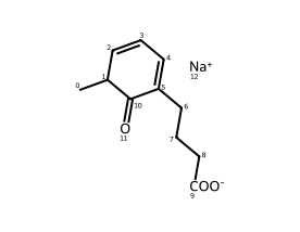 CC1C=CC=C(CCCC(=O)[O-])C1=O.[Na+]